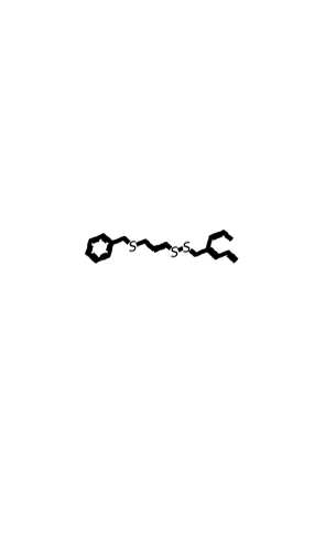 C=C/C=C(\C=C/C)CSS/C=C/CSCc1ccccc1